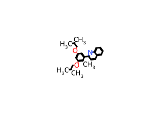 Cc1c(OCC(C)C)cc(OCC(C)C)cc1-c1ccc2ccccc2n1